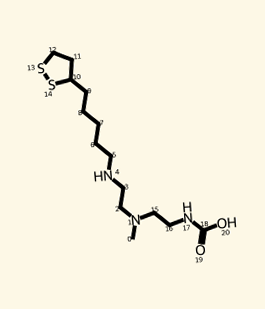 CN(CCNCCCCCC1CCSS1)CCNC(=O)O